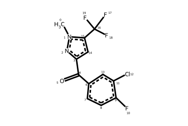 Cn1nc(C(=O)c2ccc(F)c(Cl)c2)cc1C(F)(F)F